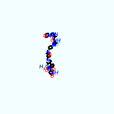 Cn1c(=O)n(C2CCC(=O)NC2=O)c2cccc(C3CCN(CC4COC5(C4)CN(C[C@H]4CC[C@H](n6cc(NC(=O)c7cnn8ccc(N9CCOCC9)nc78)c(C(F)F)n6)CC4)C5)CC3)c21